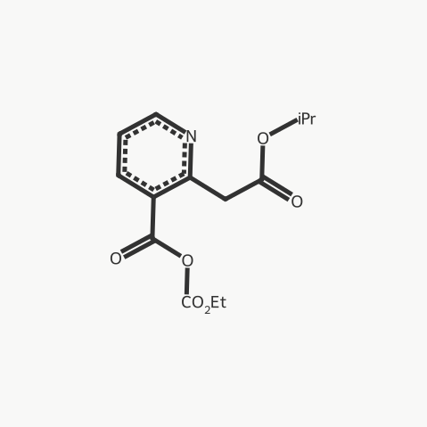 CCOC(=O)OC(=O)c1cccnc1CC(=O)OC(C)C